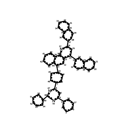 c1ccc(-c2cc(-c3ccc(-c4cc5c(-c6ccc7ccccc7c6)cc(-c6ccc7ccccc7c6)nc5c5ccccc45)cc3)nc(-c3ccccc3)n2)cc1